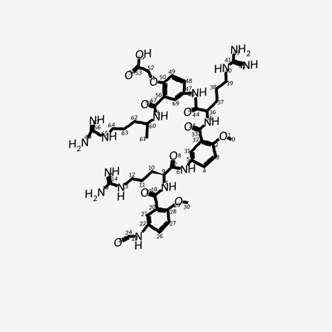 COc1ccc(NC(=O)[C@H](CCCNC(=N)N)NC(=O)c2cc(NC=O)ccc2OC)cc1C(=O)NC(CCCNC(=N)N)C(=O)Nc1ccc(OCC(=O)O)c(C(=O)NC(C)CCCNC(=N)N)c1